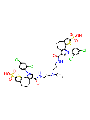 CN(CCCNC(=O)c1cn(-c2ccc(Cl)cc2Cl)c2c1CCCc1cc(S(=O)(=O)O)sc1-2)CCCNC(=O)c1cn(-c2ccc(Cl)cc2Cl)c2c1CCCc1cc(S(=O)(=O)O)sc1-2